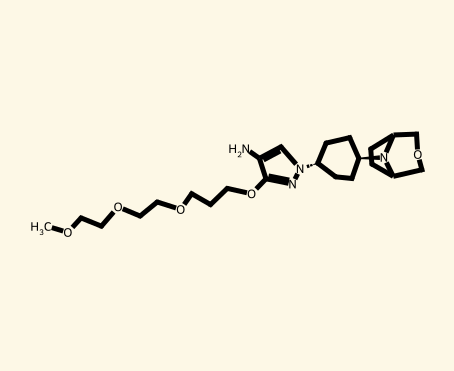 COCCOCCOCCCOc1nn([C@H]2CC[C@H](N3C4CCC3COC4)CC2)cc1N